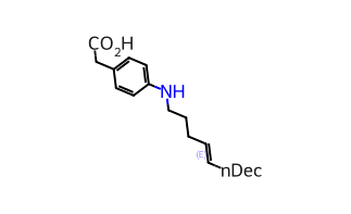 CCCCCCCCCC/C=C/CCCNc1ccc(CC(=O)O)cc1